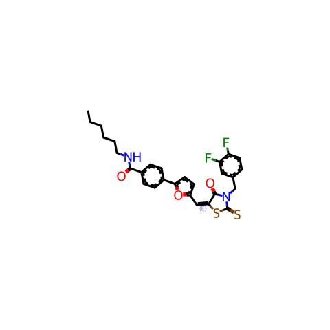 CCCCCCNC(=O)c1ccc(-c2ccc(/C=C3/SC(=S)N(Cc4ccc(F)c(F)c4)C3=O)o2)cc1